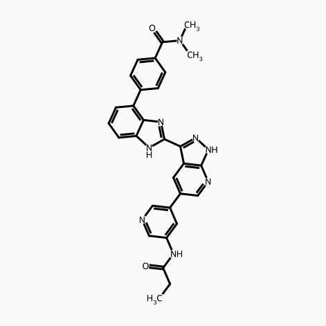 CCC(=O)Nc1cncc(-c2cnc3[nH]nc(-c4nc5c(-c6ccc(C(=O)N(C)C)cc6)cccc5[nH]4)c3c2)c1